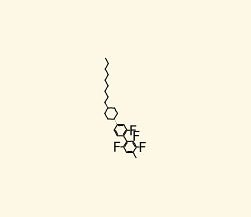 CCCCCCCCC[C@H]1CC[C@H](c2ccc(-c3c(F)cc(C)c(F)c3F)c(F)c2)CC1